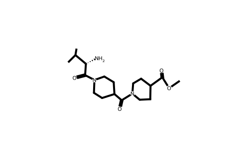 COC(=O)C1CCN(C(=O)C2CCN(C(=O)[C@@H](N)C(C)C)CC2)CC1